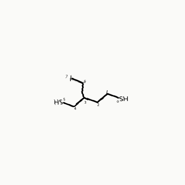 SCCC(CS)CI